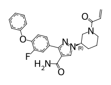 C=CC(=O)N1CCC[C@@H](n2cc(C(N)=O)c(-c3ccc(Oc4ccccc4)c(F)c3)n2)C1